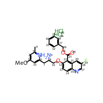 COc1cc(C)nc(C[C@@H](N)COc2ccc3ncc(F)cc3c2C(=O)OCc2ccccc2)c1.Cl.Cl